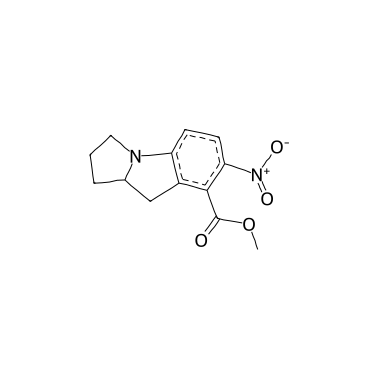 COC(=O)c1c([N+](=O)[O-])ccc2c1CC1CCCN21